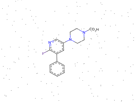 O=C(O)N1CCN(c2cnc(I)c(-c3ccccc3)c2)CC1